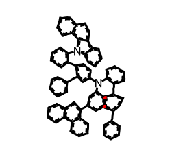 c1ccc(-c2ccc(-c3ccccc3N(c3cccc(-c4cc5ccccc5c5ccccc45)c3)c3ccc(-c4ccccc4-n4c5ccccc5c5ccc6ccccc6c54)c(-c4ccccc4)c3)cc2)cc1